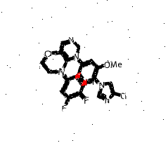 COc1cc(N2CN=CC3=C2N(c2cc(F)c(F)c(F)c2)CCO3)cnc1-n1cnc(Cl)c1